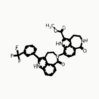 COC(=O)c1[nH]c2c(N3CCc4c(-c5cccc(C(F)(F)F)c5)[nH]c5cccc(c45)C3=O)ccc3c2c1CCNC3=O